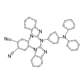 N#Cc1cc2c(cc1C#N)n1c3ccccc3nc1n(-c1ccc(N(c3ccccc3)c3ccccc3)cc1)c1nc3ccccc3n21